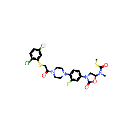 CSC(=O)N(C)C1CN(c2ccc(N3CCN(C(=O)CSc4cc(Cl)ccc4Cl)CC3)c(F)c2)C(=O)O1